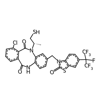 C[C@@H](CS)N1C(=O)c2c(Cl)cccc2C(=O)Nc2ccc(Cn3c(=O)sc4cc(C(F)(C(F)(F)F)C(F)(F)F)ccc43)cc21